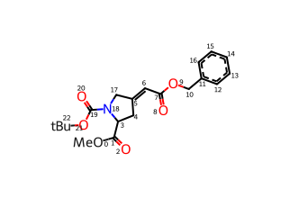 COC(=O)C1CC(=CC(=O)OCc2ccccc2)CN1C(=O)OC(C)(C)C